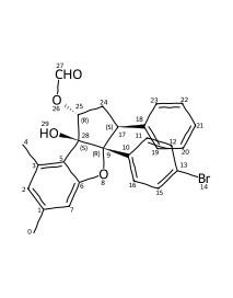 Cc1cc(C)c2c(c1)O[C@@]1(c3ccc(Br)cc3)[C@H](c3ccccc3)C[C@@H](OC=O)[C@@]21O